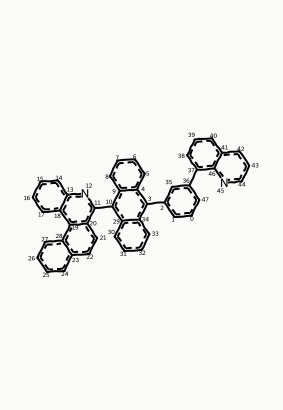 c1cc(-c2c3ccccc3c(-c3nc4ccccc4c4c3ccc3ccccc34)c3ccccc23)cc(-c2cccc3cccnc23)c1